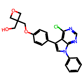 OCC1(COc2ccc(-c3cn(-c4ccccc4)c4ncnc(Cl)c34)cc2)COC1